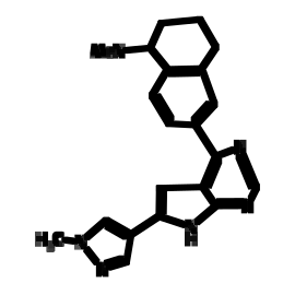 CNC1CCCc2cc(-c3ncnc4[nH]c(-c5cnn(C)c5)cc34)ccc21